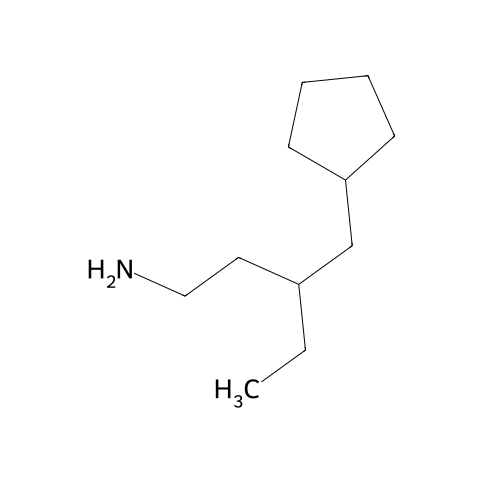 CCC(CCN)CC1CCCC1